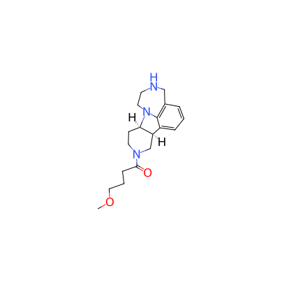 COCCCC(=O)N1CC[C@@H]2[C@H](C1)c1cccc3c1N2CCNC3